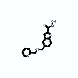 O=C(NO)c1cc2cc(CNCc3ccccn3)ccc2s1